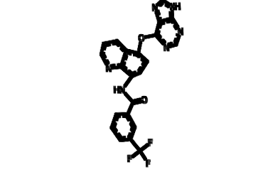 O=C(Nc1ccc(Oc2ncnc3[nH]cnc23)c2cccnc12)c1cccc(C(F)(F)F)c1